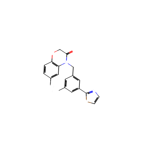 Cc1cc(CN2C(=O)COc3ccc(C=O)cc32)cc(-c2nccs2)c1